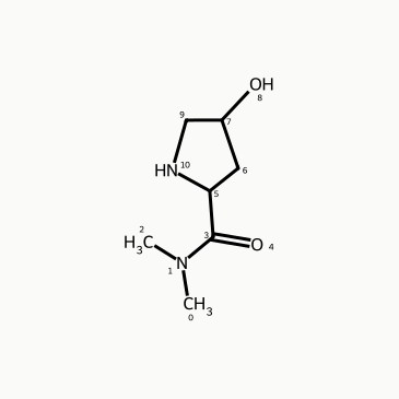 CN(C)C(=O)C1CC(O)CN1